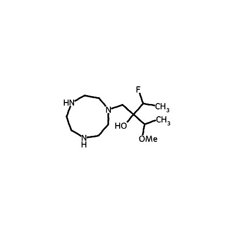 COC(C)C(O)(CN1CCNCCNCC1)C(C)F